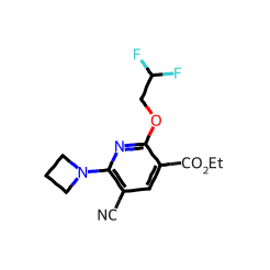 CCOC(=O)c1cc(C#N)c(N2CCC2)nc1OCC(F)F